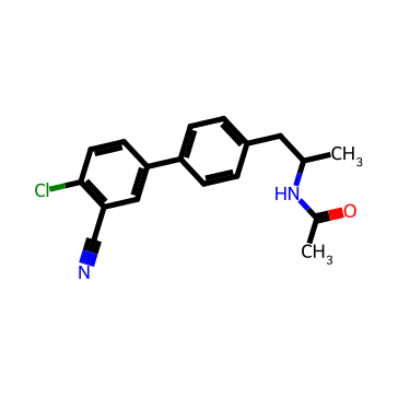 CC(=O)NC(C)Cc1ccc(-c2ccc(Cl)c(C#N)c2)cc1